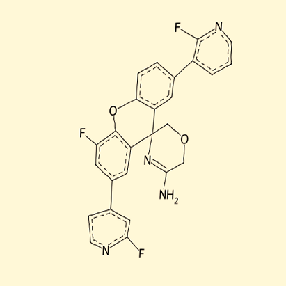 NC1=NC2(COC1)c1cc(-c3cccnc3F)ccc1Oc1c(F)cc(-c3ccnc(F)c3)cc12